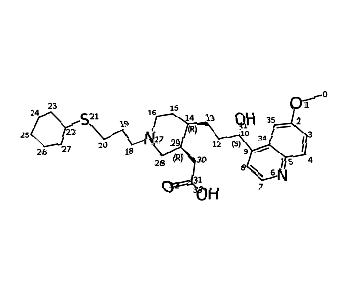 COc1ccc2nccc([C@@H](O)CC[C@@H]3CCN(CCCSC4CCCCC4)C[C@@H]3CC(=O)O)c2c1